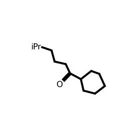 CC(C)CCCC(=O)C1CCCCC1